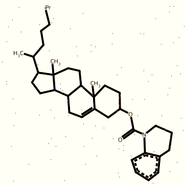 CC(C)CCCC(C)C1CCC2C3CC=C4CC(OC(=O)N5CCCc6ccccc65)CCC4(C)C3CCC12C